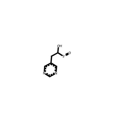 O=[S+]C(O)[CH]c1cncnc1